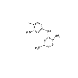 Cc1ccc(Nc2cc(N)ccc2N)cc1N